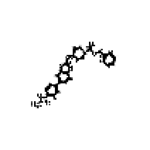 CS(=O)(=O)c1ccc(-c2ccc3nc(OC4CCN(C(=O)OCc5ccccc5)CC4)sc3c2)cc1